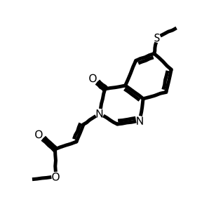 COC(=O)/C=C/n1cnc2ccc(SC)cc2c1=O